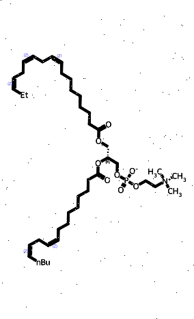 CC/C=C\C/C=C\C/C=C\CCCCCCCC(=O)OC[C@H](COP(=O)([O-])OCC[N+](C)(C)C)OC(=O)CCCCCCC/C=C\C/C=C\CCCC